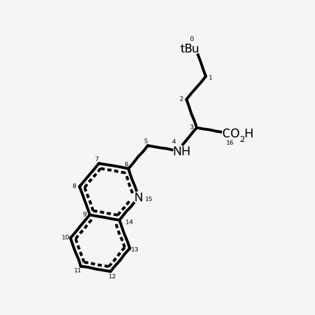 CC(C)(C)CCC(NCc1ccc2ccccc2n1)C(=O)O